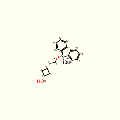 CC(C)(C)[Si](OCC[C@H]1C[C@@H](O)C1)(c1ccccc1)c1ccccc1